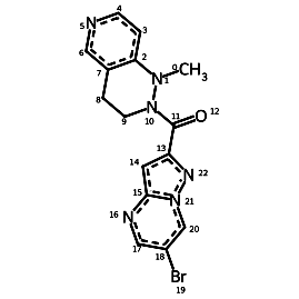 CN1c2ccncc2CCN1C(=O)c1cc2ncc(Br)cn2n1